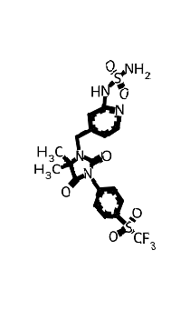 CC1(C)C(=O)N(c2ccc(S(=O)(=O)C(F)(F)F)cc2)C(=O)N1Cc1ccnc(NS(N)(=O)=O)c1